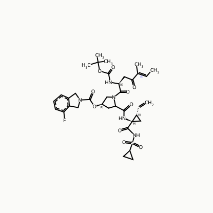 C=C[C@@H]1C[C@]1(NC(=O)C1C[C@@H](OC(=O)N2Cc3cccc(F)c3C2)CN1C(=O)[C@H](CC(=O)/C(C)=C/C)NC(=O)OC(C)(C)C)C(=O)NS(=O)(=O)C1CC1